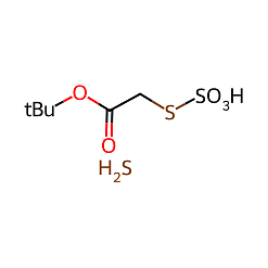 CC(C)(C)OC(=O)CSS(=O)(=O)O.S